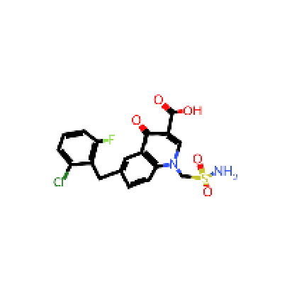 NS(=O)(=O)Cn1cc(C(=O)O)c(=O)c2cc(Cc3c(F)cccc3Cl)ccc21